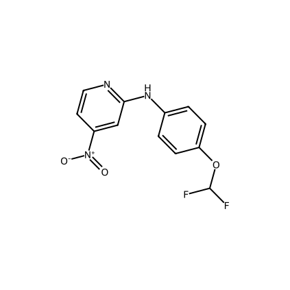 O=[N+]([O-])c1ccnc(Nc2ccc(OC(F)F)cc2)c1